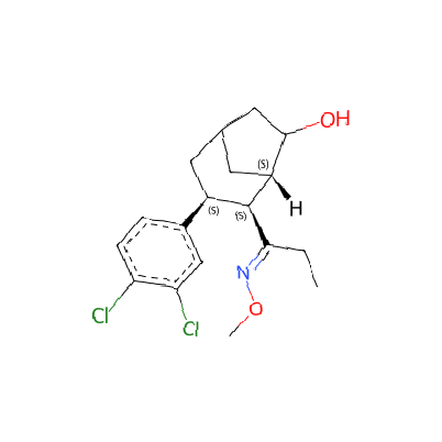 CCC(=NOC)[C@H]1[C@@H](c2ccc(Cl)c(Cl)c2)CC2CC(O)[C@H]1C2